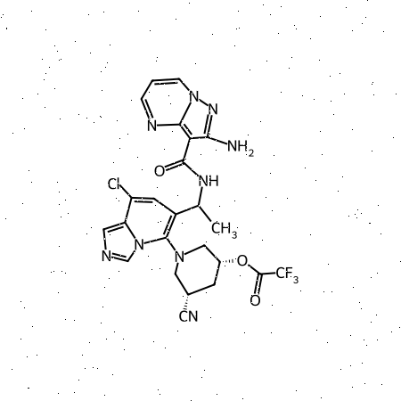 CC(NC(=O)c1c(N)nn2cccnc12)c1cc(Cl)c2cncn2c1N1C[C@@H](C#N)C[C@@H](OC(=O)C(F)(F)F)C1